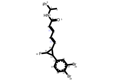 CC(C)C(C)NC(=O)/C=C/C=C/C1C(F)C1c1ccc(Br)c(Br)c1